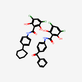 O=C(Nc1ccc(C2CCCCC2)cc1)c1c(O)c(Cl)cc(Cl)c1O.O=C(c1ccccc1)c1ccc(NC(=O)c2c(O)c(Cl)cc(Cl)c2O)cc1